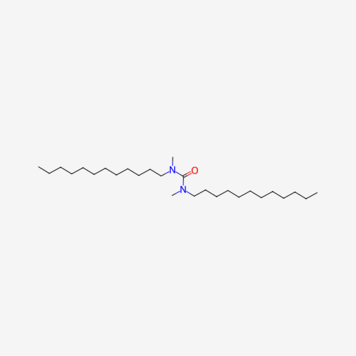 CCCCCCCCCCCCN(C)C(=O)N(C)CCCCCCCCCCCC